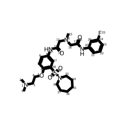 CN(C)CCOc1ccc(NC(=O)CN(C)CC(=O)Nc2cccc(F)c2)cc1S(=O)(=O)N1CCCCCC1